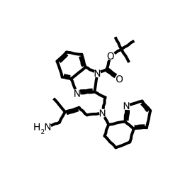 CC(=CCN(Cc1nc2ccccc2n1C(=O)OC(C)(C)C)C1CCCc2cccnc21)CN